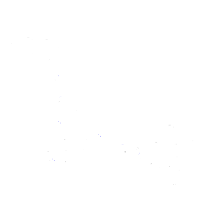 COc1cc(/C=C/C=C/C(=O)Nc2cc(CN(C)C)cc(NC(=O)/C=C/C=C/c3cc(OC)c(OC)c(OC)c3)c2)cc(OC)c1OC